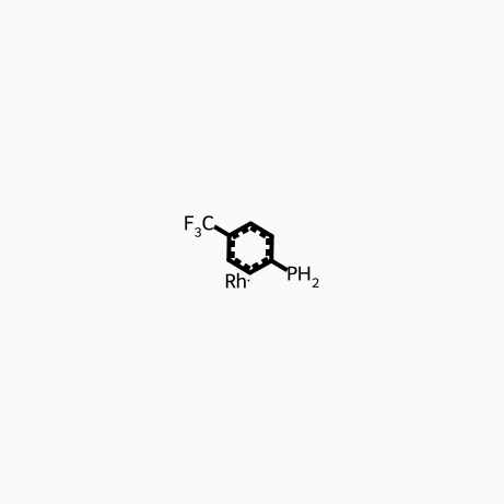 FC(F)(F)c1ccc(P)cc1.[Rh]